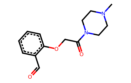 CN1CCN(C(=O)COc2ccccc2C=O)CC1